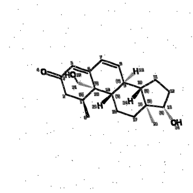 C[C@H]1CC(=O)C=C2C=C[C@H]3[C@@H]4CC[C@H](O)[C@@]4(C)CC[C@@H]3[C@]21CO